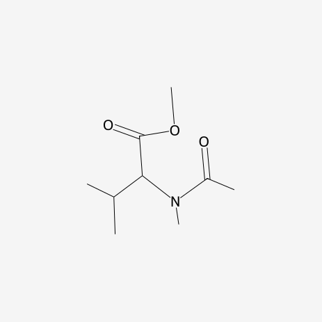 COC(=O)C(C(C)C)N(C)C(C)=O